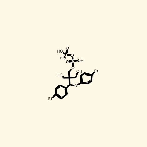 CCc1ccc(OC(c2ccc(CC)cc2)C(CO)(CO)COP(=O)(O)OP(=O)(O)O)cc1